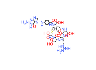 CSC[C@H](NC(=O)[C@H](CC(=O)O)NC(=O)[C@H](CCCNC(=N)N)NC(=O)[C@H](CC(=O)O)NC(=O)CC[C@H](NC(=O)c1ccc(NCc2cnc3nc(N)[nH]c(=O)c3n2)cc1)C(=O)O)C(=O)O